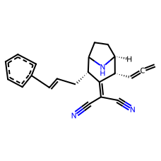 C=C=C[C@@H]1C(=C(C#N)C#N)[C@H](C/C=C/c2ccccc2)C2CC[C@@H]1N2